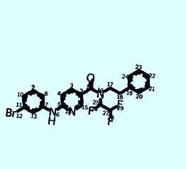 O=C(c1ccc(Nc2cccc(Br)c2)nc1)N(CCc1ccccc1)C(F)C(F)F